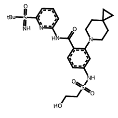 CC(C)(C)S(=N)(=O)c1cccc(NC(=O)c2ccc(NS(=O)(=O)CCO)cc2N2CCC3(CC2)CC3)n1